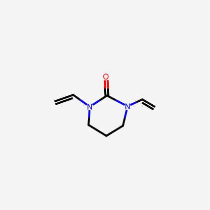 C=CN1CCCN(C=C)C1=O